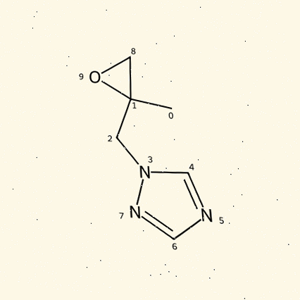 CC1(Cn2cncn2)CO1